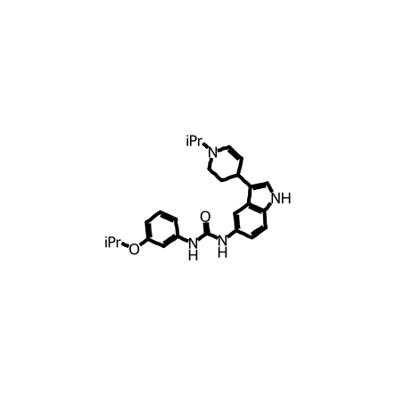 CC(C)Oc1cccc(NC(=O)Nc2ccc3[nH]cc(C4C=CN(C(C)C)CC4)c3c2)c1